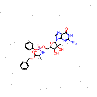 C[C@H](NP(=O)(OC[C@H]1O[C@@H](n2cnc3c(=O)[nH]c(N)nc32)C(C)(O)[C@H]1O)Oc1ccccc1)C(=O)OCc1ccccc1